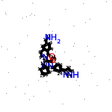 NCc1ccc2c(c1)CCN([C@@H](Cc1ccccc1)C(=O)Nc1ccc(-c3cc[nH]n3)cc1)C2=O